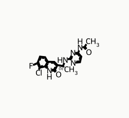 CC(=O)Nc1ccnc(N[C@@H](C)c2cc3ccc(F)c(Cl)c3[nH]c2=O)n1